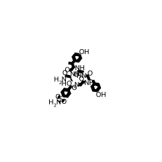 CC(c1ccc(O)cc1)[C@H](NC(=O)CNC(=O)[C@H](Cc1ccc(O)cc1)NC(=O)/C=N/OCc1ccc(S(N)(=O)=O)cc1)C(=O)N[C@@H](CO)C(N)=O